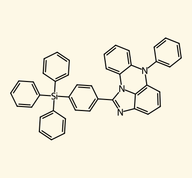 c1ccc(N2c3ccccc3-n3c(-c4ccc([Si](c5ccccc5)(c5ccccc5)c5ccccc5)cc4)nc4cccc2c43)cc1